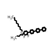 CCCCCCCCCCOC1(CCCCC)C=CC(c2ccc(-c3ccc(-c4ccccc4)cc3)cc2)=C(F)C1F